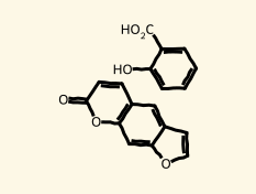 O=C(O)c1ccccc1O.O=c1ccc2cc3ccoc3cc2o1